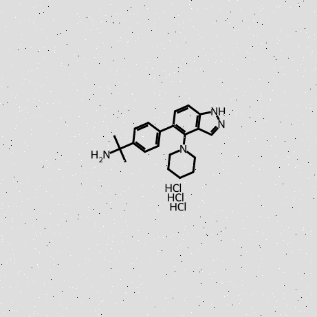 CC(C)(N)c1ccc(-c2ccc3[nH]ncc3c2N2CCCCC2)cc1.Cl.Cl.Cl